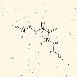 C=C(NCCN(C)C)N(C)CCC